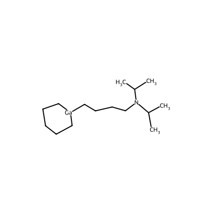 CC(C)N(CCC[CH2][Ga]1[CH2]CCC[CH2]1)C(C)C